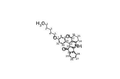 CCCCCCOc1ccc(C2C3=C(CCCC3=O)NC3=C2C(=O)c2ccccc23)cc1